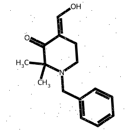 CC1(C)C(=O)C(=CO)CCN1Cc1ccccc1